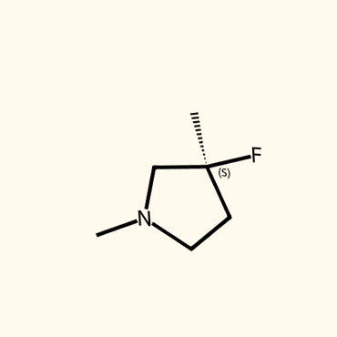 CN1CC[C@](C)(F)C1